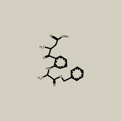 COC(=O)CC(C)C(=O)c1ccccc1NC(C)C(=O)OCc1ccccc1